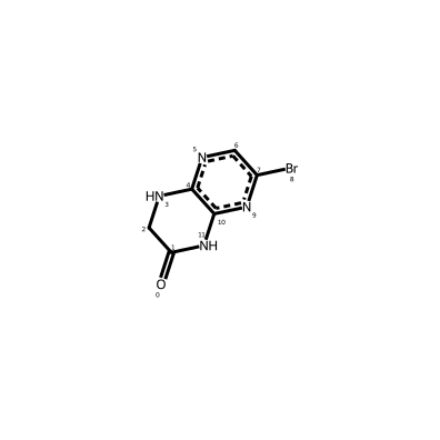 O=C1CNc2ncc(Br)nc2N1